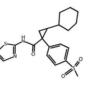 CS(=O)(=O)c1ccc(C2(C(=O)Nc3nccs3)CC2C2CCCCC2)cc1